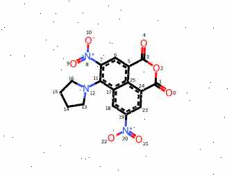 O=C1OC(=O)c2cc([N+](=O)[O-])c(N3CCCC3)c3cc([N+](=O)[O-])cc1c23